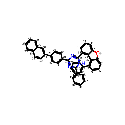 c1ccc(-c2cccc3oc4cccc(C5=NC(c6ccc(-c7ccc8ccccc8c7)cc6)=NC(c6ccccc6)N5)c4c23)cc1